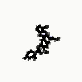 CCC/C=C/N=C(/Nc1cccc(Cl)c1F)c1cc(OC(=O)N2CCN(C)CC2C)c(OC)cc1C